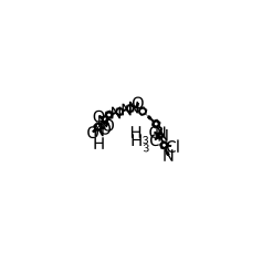 Cc1c(-c2ccc(C#N)c(Cl)c2)nn(Cc2ccc(C#C[C@H]3CC[C@H](C(=O)N4CCN(C5CCN(c6ccc7c(c6)C(=O)N(C6CCC(=O)NC6=O)C7=O)CC5)CC4)CC3)cc2)c1C